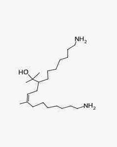 CC(=CCC(CCCCCCCN)C(C)(C)O)CCCCCCCN